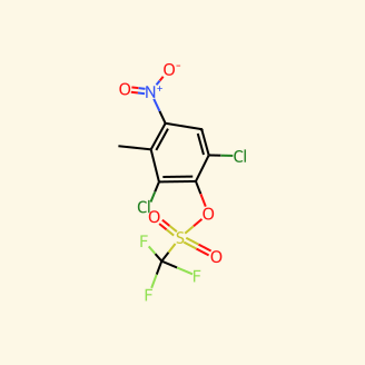 Cc1c([N+](=O)[O-])cc(Cl)c(OS(=O)(=O)C(F)(F)F)c1Cl